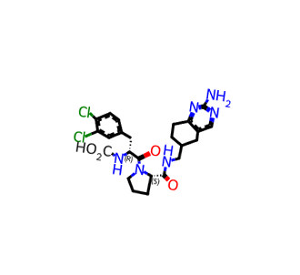 Nc1ncc2c(n1)CCC(CNC(=O)[C@@H]1CCCN1C(=O)[C@@H](Cc1ccc(Cl)c(Cl)c1)NC(=O)O)C2